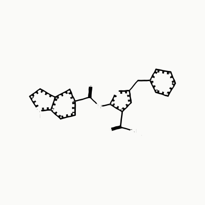 NC(=O)c1cc(Cc2ccccc2)sc1NC(=O)c1ccc2[nH]ccc2c1